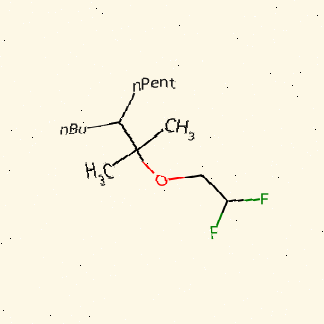 CCCCCC(CCCC)C(C)(C)OCC(F)F